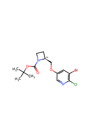 CC(C)(C)OC(=O)N1CC[C@H]1COc1cnc(Cl)c(Br)c1